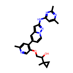 Cc1cc(-c2ccn3nc(Nc4cc(C)nc(C)n4)cc3c2)c(OCC(O)C2(C)CC2)cn1